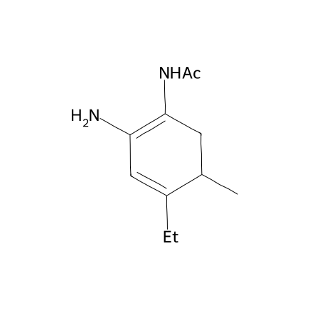 CCC1=CC(N)=C(NC(C)=O)CC1C